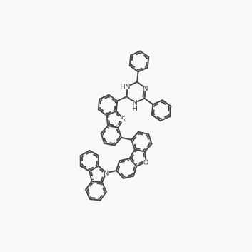 c1ccc(C2=NC(c3ccccc3)NC(c3cccc4c3sc3c(-c5cccc6oc7ccc(-n8c9ccccc9c9ccccc98)cc7c56)cccc34)N2)cc1